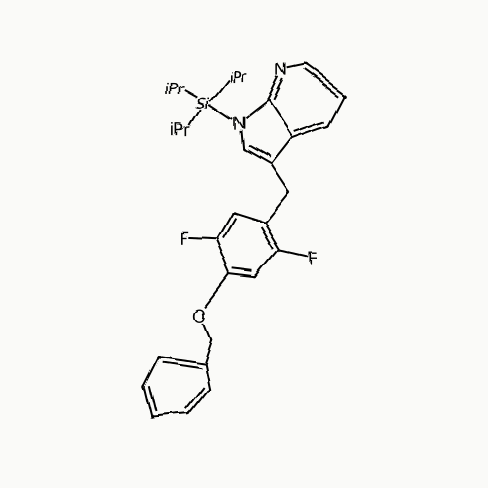 CC(C)[Si](C(C)C)(C(C)C)n1cc(Cc2cc(F)c(OCc3ccccc3)cc2F)c2cccnc21